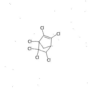 ClC1=C(Cl)C2(Cl)C[C]1C(Cl)C2(Cl)Cl